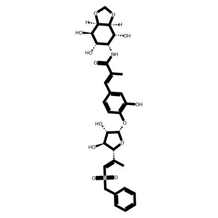 C/C(=C\c1ccc(O[C@@H]2O[C@H](/C(C)=C/S(=O)(=O)Cc3ccccc3)[C@@H](O)[C@@H]2O)c(O)c1)C(=O)N[C@@H]1[C@H](O)[C@@H](O)[C@H]2OCO[C@H]2[C@@H]1O